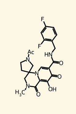 CC(=O)N1CCC2(CN(C)C(=O)c3c(O)c(=O)c(C(=O)NCc4ccc(F)cc4F)cn32)C1